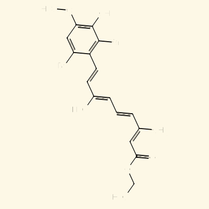 CCOC(=O)C=C(C)C=CC=C(C)C=Cc1c(Br)cc(OC)c(C)c1Br